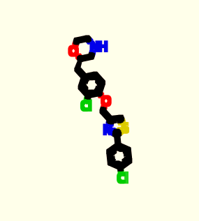 Clc1ccc(-c2nc(COc3ccc(C[C@@H]4CNCCO4)cc3Cl)cs2)cc1